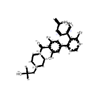 C=C(N)/C=C\C(=C/N)c1c(CC)ncnc1-c1cc(F)c(C(=O)N2CCN(CC(C)(C)O)CC2)c(Cl)c1